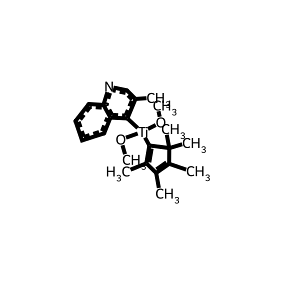 C[O][Ti]([O]C)([C]1=C(C)C(C)=C(C)C1(C)C)[c]1c(C)cnc2ccccc12